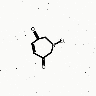 CCN1CC(=O)C=CC(=O)C1